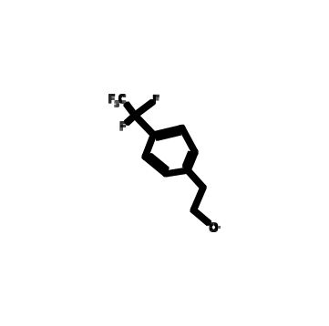 [O]CCc1ccc(C(F)(F)C(F)(F)F)cc1